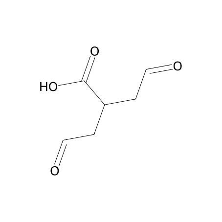 O=CCC(CC=O)C(=O)O